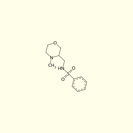 CN1CCOCC1CNS(=O)(=O)c1ccccc1